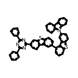 c1ccc(-c2nc(-c3ccccc3)nc(-c3ccc4c(c3)sc3ccc(-c5cccc6sc7ccc(-n8c9ccccc9c9ccccc98)cc7c56)cc34)n2)cc1